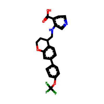 O=C(O)c1ccncc1NCC1CCOc2cc(-c3ccc(OC(F)(F)F)cc3)ccc21